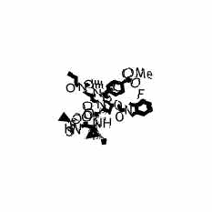 C=CC(=O)N(O)CC(NC(=O)C12CCC(C(=O)OC)(CC1)CC2)C(=O)N1CC(OC(=O)N2Cc3cccc(F)c3C2)C[C@H]1C(=O)N[C@]1(C(=O)NS(=O)(=O)C2CC2)C[C@H]1C=C